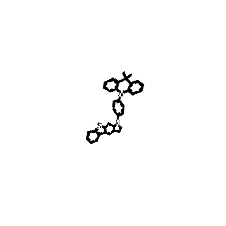 CC1(C)c2ccccc2N(c2ccc(-n3ccc4cc5c(cc43)sc3ccccc35)cc2)c2ccccc21